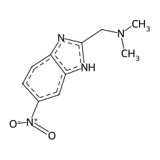 CN(C)Cc1nc2ccc([N+](=O)[O-])cc2[nH]1